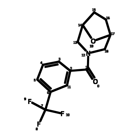 O=C(c1cccc(C(F)(F)F)c1)N1CC2CCC(C1)O2